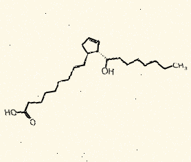 CCCCCCCC(O)[C@H]1C=CC[C@@H]1CCCCCCCCC(=O)O